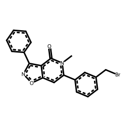 Cn1c(-c2cccc(CBr)c2)cc2onc(-c3ccccc3)c2c1=O